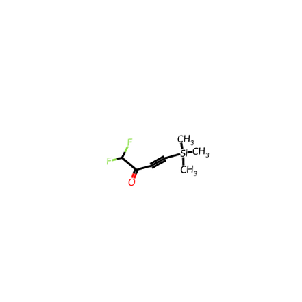 C[Si](C)(C)C#CC(=O)C(F)F